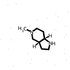 CN1CC[C@@H]2NCC[C@@H]2C1